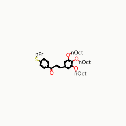 CCCCCCCCOc1cc(/C=C/C(=O)c2ccc(SCCC)cc2)cc(OCCCCCCCC)c1OCCCCCCCC